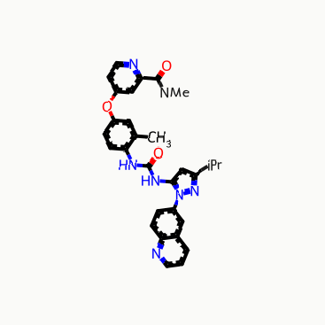 CNC(=O)c1cc(Oc2ccc(NC(=O)Nc3cc(C(C)C)nn3-c3ccc4ncccc4c3)c(C)c2)ccn1